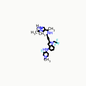 C=C(NCC#Cc1cc2c(NC3=C(F)CN(C)CC3)cccc2n1CC(F)(F)F)C1=CN(C(C)(C)C)NC1